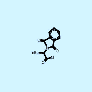 CCCCC(C(=O)Cl)N1C(=O)c2ccccc2C1=O